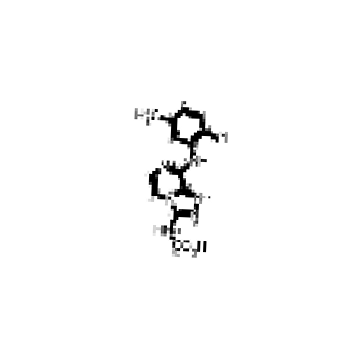 Cc1ccc(Cl)c(Nc2nccn3c(NC(=O)O)nnc23)c1